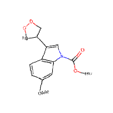 COc1ccc2c(C3BOOC3)cn(C(=O)OC(C)(C)C)c2c1